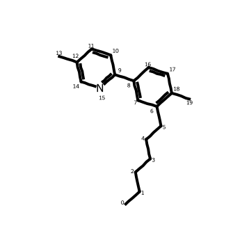 CCCCCCc1cc(-c2ccc(C)cn2)ccc1C